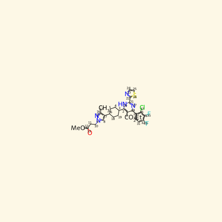 CCOC(=O)C1=C(C2CCC(c3cn(CCC(=O)OC)nc3C)CC2)NC(c2nccs2)=NC1c1ccc(F)c(F)c1Cl